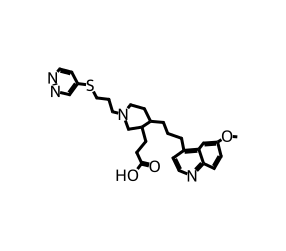 COc1ccc2nccc(CCCC3CCN(CCCSc4ccnnc4)CC3CCC(=O)O)c2c1